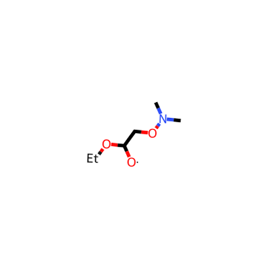 CCOC([O])CON(C)C